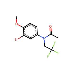 COc1ccc(N(CC(F)(F)F)C(C)=O)cc1Br